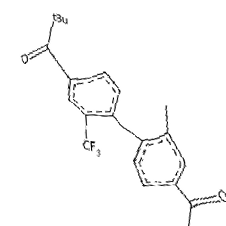 Cc1cc(C(=O)C(C)(C)C)ccc1-c1ccc(C(=O)C(C)(C)C)cc1C(F)(F)F